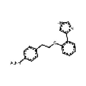 CC(=O)Nc1ccc(CCOc2ccccc2-c2c[nH]cn2)cc1